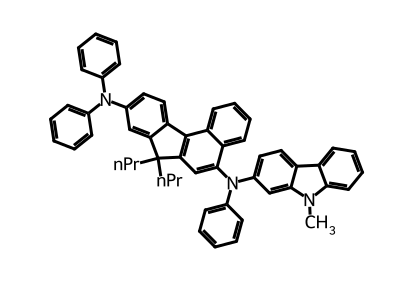 CCCC1(CCC)c2cc(N(c3ccccc3)c3ccccc3)ccc2-c2c1cc(N(c1ccccc1)c1ccc3c4ccccc4n(C)c3c1)c1ccccc21